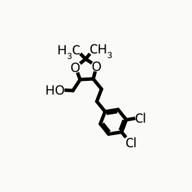 CC1(C)OC(CO)C(CCc2ccc(Cl)c(Cl)c2)O1